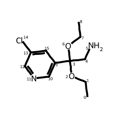 CCOC(CN)(OCC)c1cncc(Cl)c1